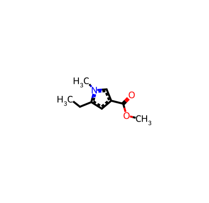 CCc1cc(C(=O)OC)cn1C